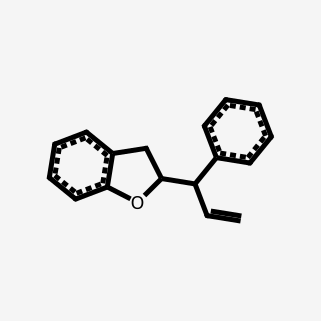 C=CC(c1ccccc1)C1Cc2ccccc2O1